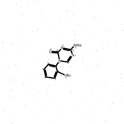 CCCCc1ccccc1-n1cnc(NC)nc1=O